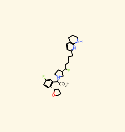 O=C(O)[C@@H](c1cc(F)ccc1[C@@H]1CCCO1)N1CC[C@@H](C(F)CCCCc2ccc3c(n2)NCCC3)C1